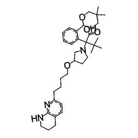 CC1(C)CCC(c2ccccc2C(C(=O)O)(N2CCC(OCCCCc3ccc4c(n3)NCCC4)C2)C(C)(C)C)OC1